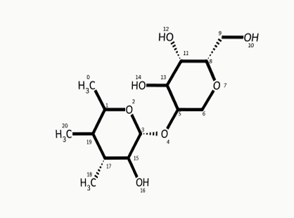 CC1O[C@H](OC2CO[C@@H](CO)[C@@H](O)C2O)C(O)[C@H](C)C1C